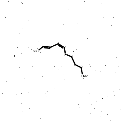 CCCC/C=C/C=C\CCCCOC(C)=O